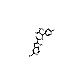 NC(=O)C(OC(=O)c1cc2cc(Cl)ncc2[nH]1)c1ccc(F)cc1